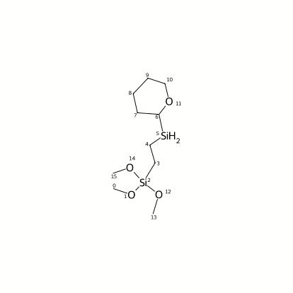 CO[Si](CC[SiH2]C1CCCCO1)(OC)OC